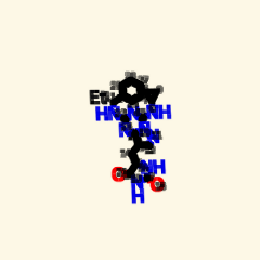 CC[C@@H](Nc1nc(NC2CC2)n2ncc(/C=C3\NC(=O)NC3=O)c2n1)c1ccccc1